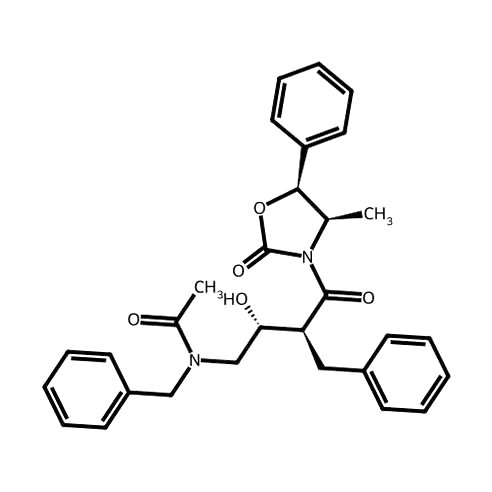 CC(=O)N(Cc1ccccc1)C[C@H](O)[C@H](Cc1ccccc1)C(=O)N1C(=O)O[C@@H](c2ccccc2)[C@H]1C